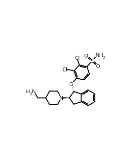 NCC1CCN([C@@H]2Cc3ccccc3[C@H]2Oc2ccc(S(N)(=O)=O)c(Cl)c2Cl)CC1